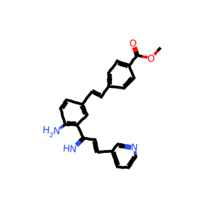 COC(=O)c1ccc(/C=C/c2ccc(N)c(C(=N)/C=C/c3cccnc3)c2)cc1